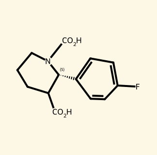 O=C(O)C1CCCN(C(=O)O)[C@@H]1c1ccc(F)cc1